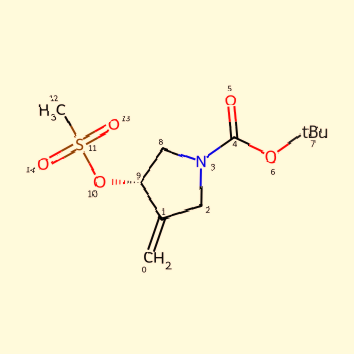 C=C1CN(C(=O)OC(C)(C)C)C[C@H]1OS(C)(=O)=O